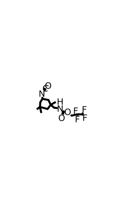 CC1(C)CC(N=C=O)CC(C)(CNC(=O)OCC(F)(F)C(F)F)C1